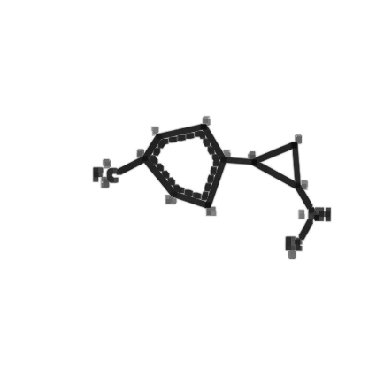 CCNC1CC1c1ccc(C(F)(F)F)cc1